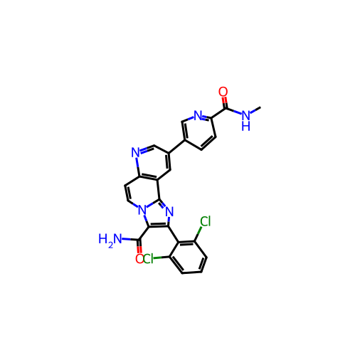 CNC(=O)c1ccc(-c2cnc3ccn4c(C(N)=O)c(-c5c(Cl)cccc5Cl)nc4c3c2)cn1